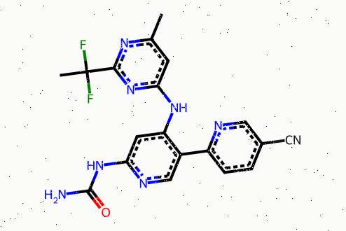 Cc1cc(Nc2cc(NC(N)=O)ncc2-c2ccc(C#N)cn2)nc(C(C)(F)F)n1